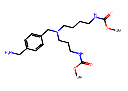 CC(C)(C)OC(=O)NCCCCN(CCCNC(=O)OC(C)(C)C)Cc1ccc(CN)cc1